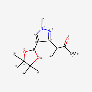 COC(=O)C(C)c1nn(C)cc1B1OC(C)(C)C(C)(C)O1